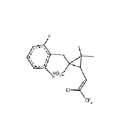 CC1(C)C(C=C(Cl)C(F)(F)F)C1(Cc1c(F)cccc1F)C(=O)O